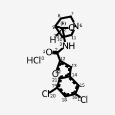 Cl.O=C(N[C@H]1CN2CCC1CC2)c1cc2cc(Cl)cc(Cl)c2o1